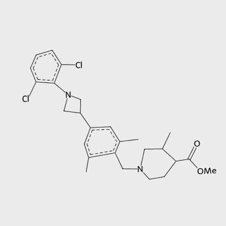 COC(=O)C1CCN(Cc2c(C)cc(C3CN(c4c(Cl)cccc4Cl)C3)cc2C)CC1C